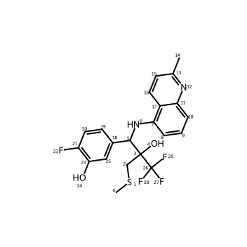 CSCC(O)(C(Nc1cccc2nc(C)ccc12)c1ccc(F)c(O)c1)C(F)(F)F